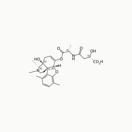 Cc1ccc(C)c2c1O[C@H]1C(OC(=O)[C@H](C)NC(=O)C[C@H](O)C(=O)O)=CC[C@@]3(O)[C@@H](C)N(C)CC[C@]213